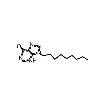 CCCCCCCCCn1cnc2c(=O)nc[nH]c21